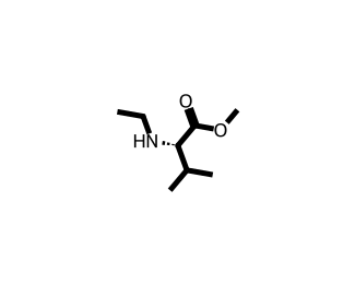 CCN[C@H](C(=O)OC)C(C)C